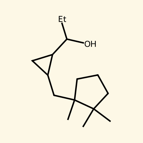 CCC(O)C1CC1CC1(C)CCCC1(C)C